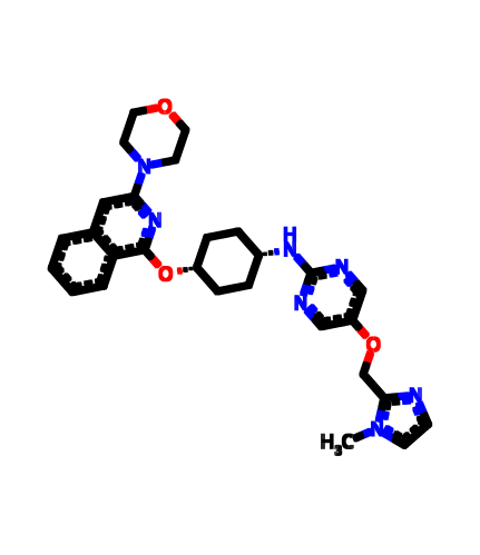 Cn1ccnc1COc1cnc(N[C@H]2CC[C@@H](Oc3nc(N4CCOCC4)cc4ccccc34)CC2)nc1